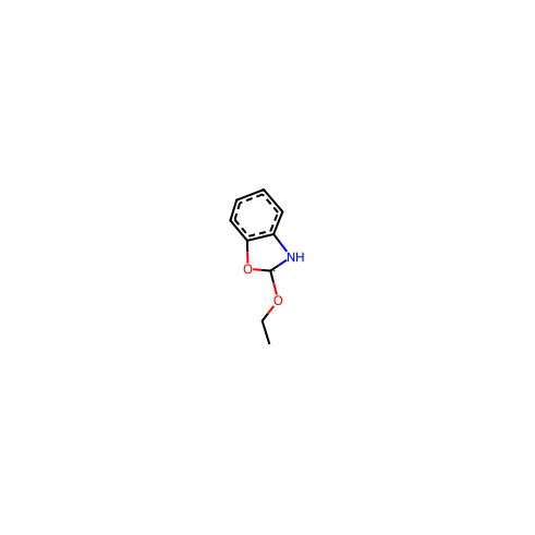 CCO[C]1Nc2ccccc2O1